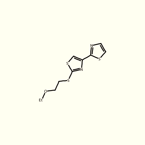 CCOCCSc1nc(-c2nccs2)cs1